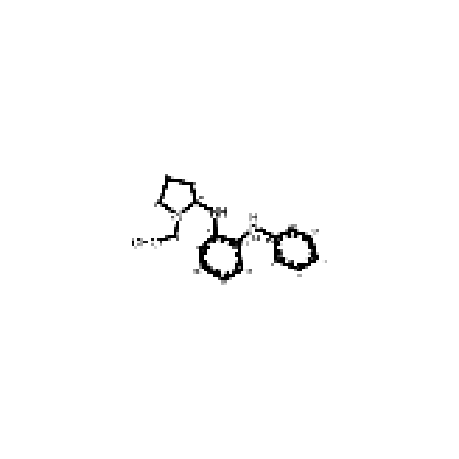 O=CCN1CCCC1Nc1ccccc1Nc1ccccc1